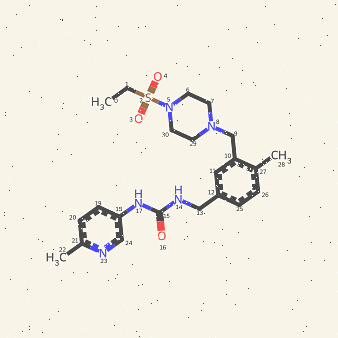 CCS(=O)(=O)N1CCN(Cc2cc(CNC(=O)Nc3ccc(C)nc3)ccc2C)CC1